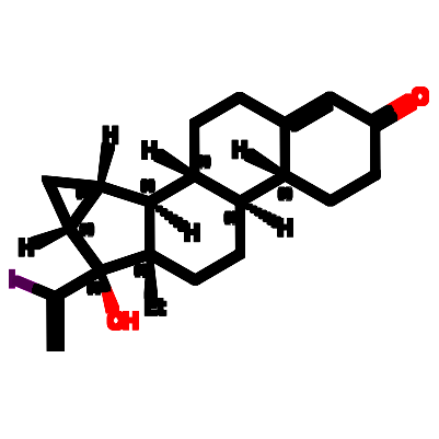 C=C(I)[C@]1(O)[C@@H]2C[C@@H]2[C@H]2[C@@H]3CCC4=CC(=O)CC[C@@H]4[C@H]3CC[C@@]21CC